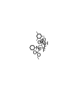 CCOC(=O)CN(CC(NS(=O)(=O)c1c(C)cc(C)cc1C)C(F)(F)F)c1ccccc1